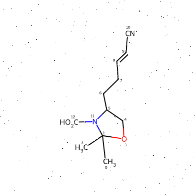 CC1(C)OCC(CCC=CC#N)N1C(=O)O